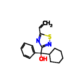 C=Cc1nc(C(O)(c2ccccc2)C2CCCCC2)ns1